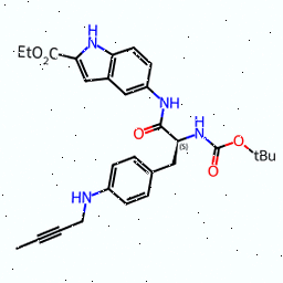 CC#CCNc1ccc(C[C@H](NC(=O)OC(C)(C)C)C(=O)Nc2ccc3[nH]c(C(=O)OCC)cc3c2)cc1